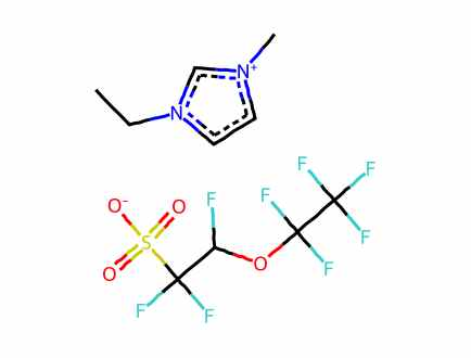 CCn1cc[n+](C)c1.O=S(=O)([O-])C(F)(F)C(F)OC(F)(F)C(F)(F)F